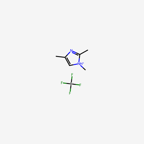 CC1=C[NH+](C)C(C)=N1.F[B-](F)(F)F